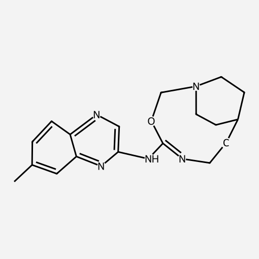 Cc1ccc2ncc(N/C3=N/CCC4CCN(CC4)CO3)nc2c1